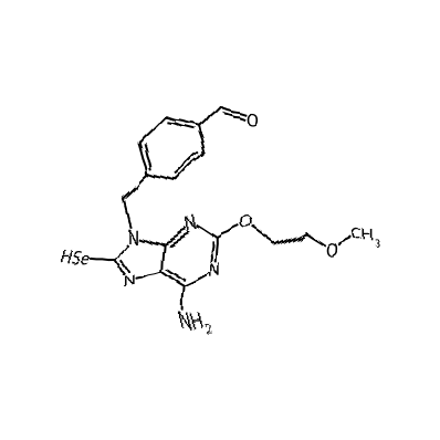 COCCOc1nc(N)c2nc([SeH])n(Cc3ccc(C=O)cc3)c2n1